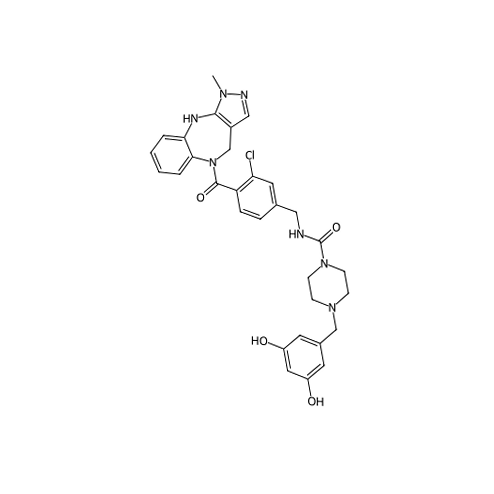 Cn1ncc2c1Nc1ccccc1N(C(=O)c1ccc(CNC(=O)N3CCN(Cc4cc(O)cc(O)c4)CC3)cc1Cl)C2